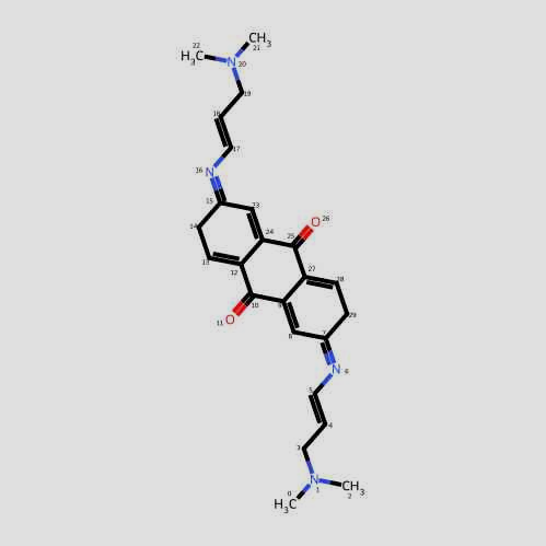 CN(C)CC=CN=C1C=C2C(=O)C3=CCC(=NC=CCN(C)C)C=C3C(=O)C2=CC1